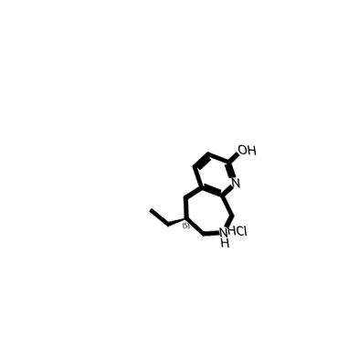 CC[C@@H]1CNCc2nc(O)ccc2C1.Cl